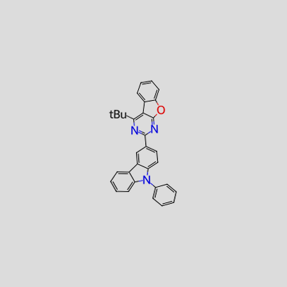 CC(C)(C)c1nc(-c2ccc3c(c2)c2ccccc2n3-c2ccccc2)nc2oc3ccccc3c12